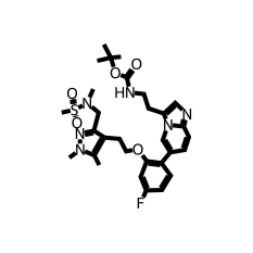 Cc1c(CCOc2cc(F)ccc2-c2ccc3ncc(CCNC(=O)OC(C)(C)C)n3c2)c(CN(C)S(C)(=O)=O)nn1C